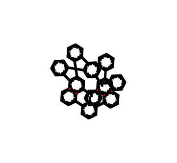 c1ccc(-c2cccc(N(c3ccc4c(c3)C3(c5ccccc5-c5ccc(N(c6ccccc6)c6ccccc6)cc53)c3ccccc3-4)c3c(-c4ccccc4)cccc3-c3ccccc3)c2)cc1